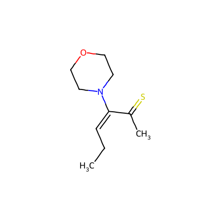 CC/C=C(\C(C)=S)N1CCOCC1